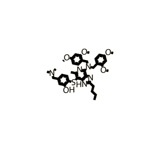 CCCCc1nc2c(N(Cc3ccc(OC)cc3OC)Cc3ccc(OC)cc3OC)nc(C)c(Sc3ccc(CN(C)C)cc3O)c2[nH]1